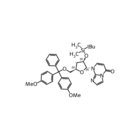 COc1ccc(C(OC[C@H]2[CH][C@@H](O[Si](C)(C)C(C)(C)C)[C@H](n3ccc(=O)n4ccnc34)O2)(c2ccccc2)c2ccc(OC)cc2)cc1